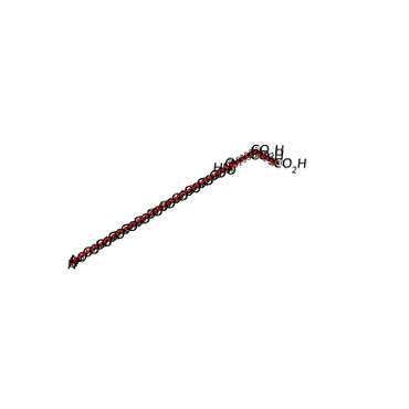 [N-]=[N+]=NCCOCCOCCOCCOCCOCCOCCOCCOCCOCCOCCOCCOCCOCCOCCOCCOCCOCCOCCOCCOCCOCCOCCOCCNC(=O)C(=O)CCCCCCCCCCC(CCCCCCCCCCC(=O)O)(C(=O)O)C(=O)O